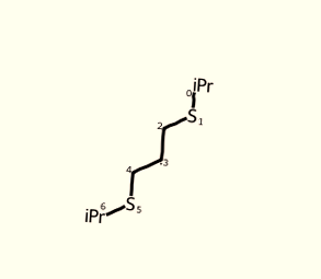 CC(C)SC[CH]CSC(C)C